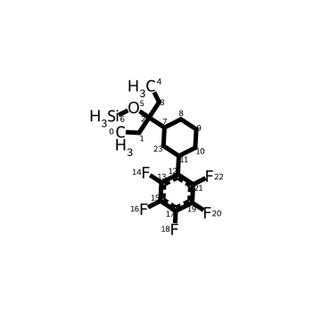 CCC(CC)(O[SiH3])C1CCCC(c2c(F)c(F)c(F)c(F)c2F)C1